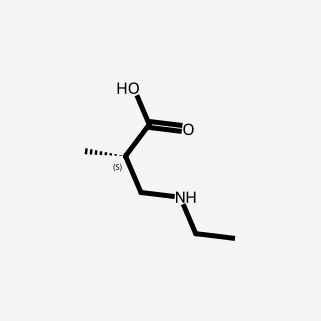 CCNC[C@H](C)C(=O)O